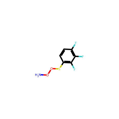 NOOSc1ccc(F)c(F)c1F